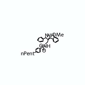 CCCCCc1ccc(S(=O)(=O)NCCc2c(-c3ccccc3)n[nH]c2-c2ccccc2OC)cc1